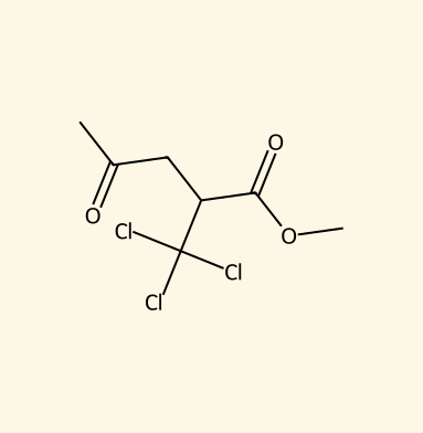 COC(=O)C(CC(C)=O)C(Cl)(Cl)Cl